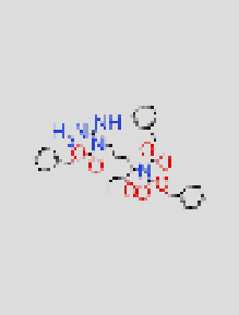 N=C(N)N(CCC[C@@H](C(=O)CI)N(C(=O)OCc1ccccc1)C(=O)OCc1ccccc1)C(=O)OCc1ccccc1